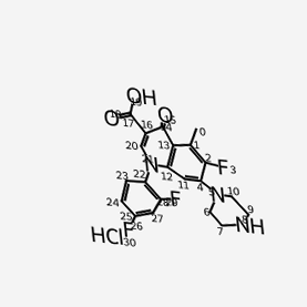 Cc1c(F)c(N2CCNCC2)cc2c1c(=O)c(C(=O)O)cn2-c1ccc(F)cc1F.Cl